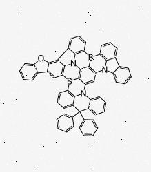 c1ccc(C2(c3ccccc3)c3ccccc3N3c4cc5c6c7c4B(c4cccc2c43)c2cc3c4ccccc4oc3c3c4cccc(c4n-7c23)B6c2cccc3c4ccccc4n-5c23)cc1